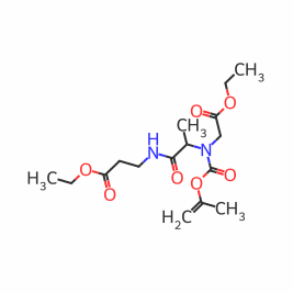 C=C(C)OC(=O)N(CC(=O)OCC)C(C)C(=O)NCCC(=O)OCC